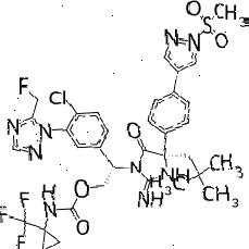 CC(C)(C)C[C@]1(c2ccc(-c3cnn(S(C)(=O)=O)c3)cc2)NC(=N)N([C@H](COC(=O)NC2(C(F)(F)F)CC2)c2ccc(Cl)c(-n3ncnc3CF)c2)C1=O